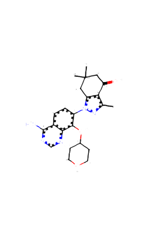 Cc1nn(-c2ccc3c(N)ncnc3c2OC2CCOCC2)c2c1C(=O)CC(C)(C)C2